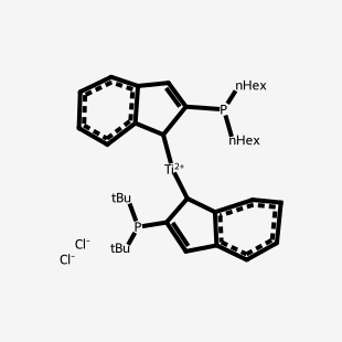 CCCCCCP(CCCCCC)C1=Cc2ccccc2[CH]1[Ti+2][CH]1C(P(C(C)(C)C)C(C)(C)C)=Cc2ccccc21.[Cl-].[Cl-]